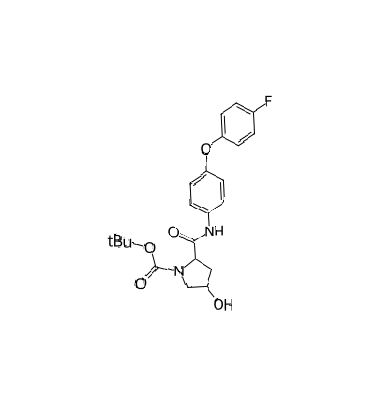 CC(C)(C)OC(=O)N1CC(O)CC1C(=O)Nc1ccc(Oc2ccc(F)cc2)cc1